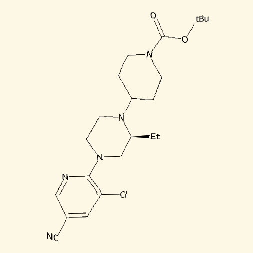 CC[C@H]1CN(c2ncc(C#N)cc2Cl)CCN1C1CCN(C(=O)OC(C)(C)C)CC1